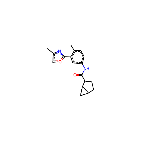 Cc1coc(-c2cc(NC(=O)C3CCC4CC43)ccc2C)n1